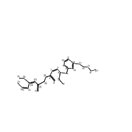 C=C(/C=C\C(CC)Cc1cccc(CCCCC)c1)CCC(=C)/C=C(\C=C/C)CC